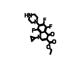 CCOC(=O)c1cn(C2CC2)c2c(F)c(N3CCNCC3)c(F)c(F)c2c1=O